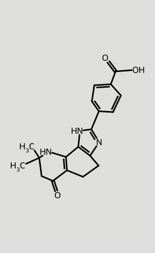 CC1(C)CC(=O)C2=C(N1)c1[nH]c(-c3ccc(C(=O)O)cc3)nc1CC2